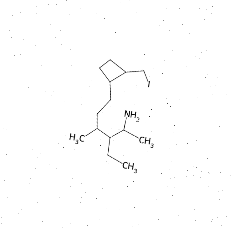 CCC(C(C)N)C(C)CCC1CCC1CI